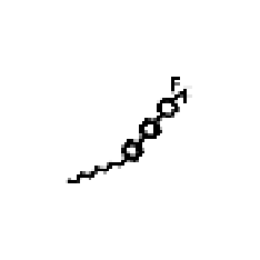 CCCCCCCCc1ccc(-c2ccc(C3CCC(C(F)F)CC3)cc2)cc1